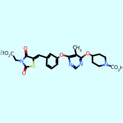 CCOC(=O)CN1C(=O)S/C(=C\c2cccc(Oc3ncnc(OC4CCN(C(=O)O)CC4)c3C)c2)C1=O